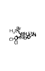 C/C(Br)=C\C=C(/N)[C@H](NNOc1ccc(C#N)c(C)c1)c1ccc(Cl)c(Cl)c1